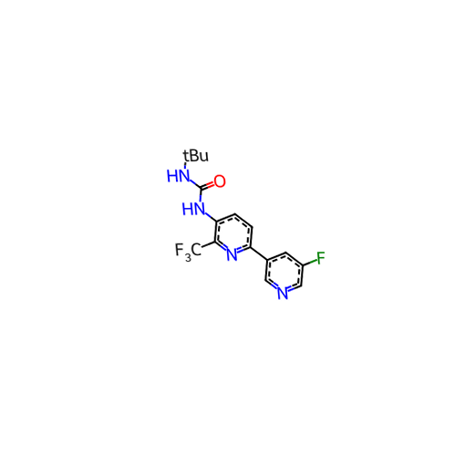 CC(C)(C)NC(=O)Nc1ccc(-c2cncc(F)c2)nc1C(F)(F)F